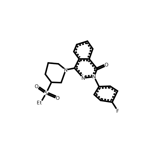 CCS(=O)(=O)C1CCCN(c2nn(-c3ccc(F)cc3)c(=O)c3ccccc23)C1